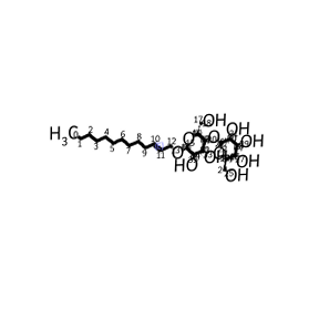 CCCCCCCCCC/C=C/CO[C@@H]1O[C@H](CO)[C@@H](O[C@@H]2O[C@H](CO)[C@H](O)[C@H](O)[C@H]2O)[C@H](O)[C@H]1O